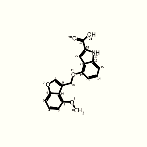 COc1cccc2occ(COc3cccc4[nH]c(C(=O)O)cc34)c12